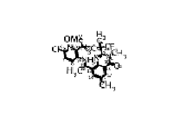 COC(=O)c1nc(Cl)ccc1N[C@H](C)c1cc(C)cc2c(=O)n(C)c(C(C)(C)C(F)(F)F)nc12